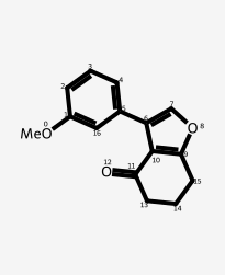 COc1cccc(-c2coc3c2C(=O)CCC3)c1